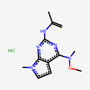 C=C(C)Nc1nc(N(C)OC)c2ccn(C)c2n1.Cl